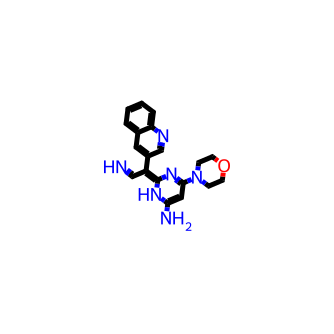 N=C/C(=C1/N=C(N2CCOCC2)C=C(N)N1)c1cnc2ccccc2c1